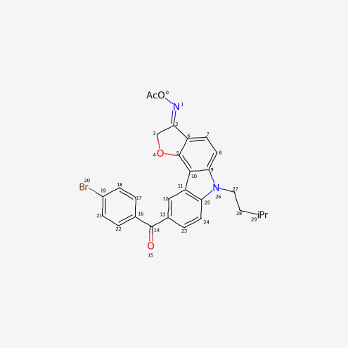 CC(=O)O/N=C1\COc2c1ccc1c2c2cc(C(=O)c3ccc(Br)cc3)ccc2n1CCC(C)C